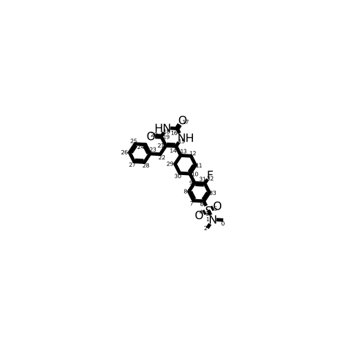 CN(C)S(=O)(=O)c1ccc(C2=CCC(c3[nH]c(=O)[nH]c(=O)c3Cc3ccccc3)CC2)c(F)c1